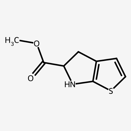 COC(=O)C1Cc2ccsc2N1